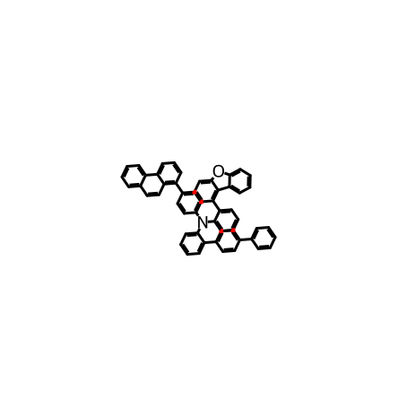 c1ccc(-c2ccc(-c3ccccc3N(c3ccc(-c4cccc5c4ccc4ccccc45)cc3)c3ccccc3-c3cccc4oc5ccccc5c34)cc2)cc1